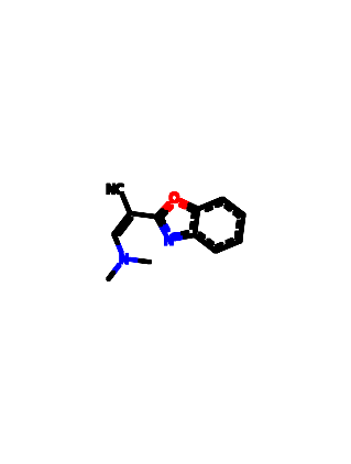 CN(C)/C=C(/C#N)c1nc2ccccc2o1